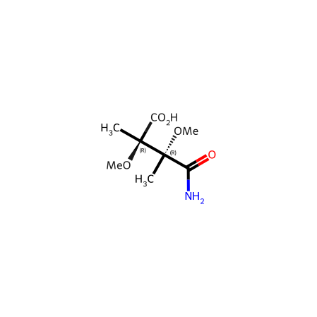 CO[C@@](C)(C(N)=O)[C@@](C)(OC)C(=O)O